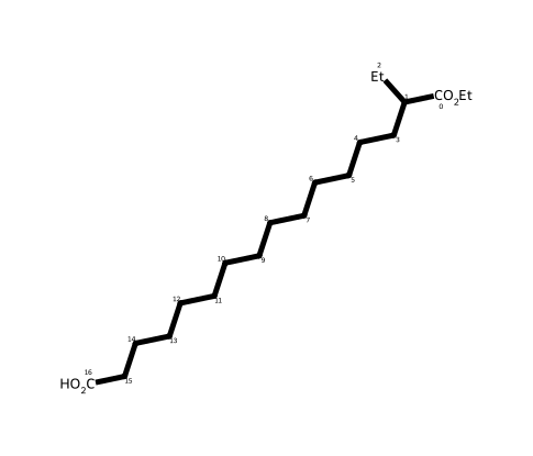 CCOC(=O)C(CC)CCCCCCCCCCCCCC(=O)O